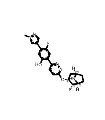 Cn1cc(-c2cc(O)c(-c3ccc(O[C@@H]4C[C@H]5CC[C@H](N5)[C@@H]4F)nn3)cc2F)cn1